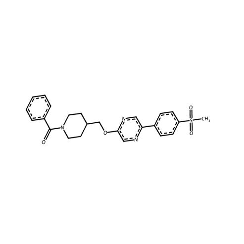 CS(=O)(=O)c1ccc(-c2cnc(OCC3CCN(C(=O)c4ccccc4)CC3)cn2)cc1